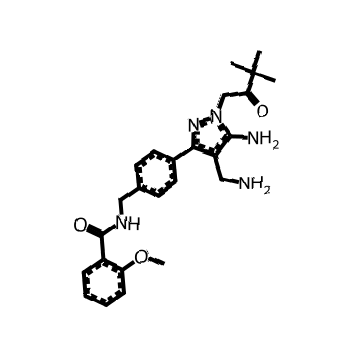 COc1ccccc1C(=O)NCc1ccc(-c2nn(CC(=O)C(C)(C)C)c(N)c2CN)cc1